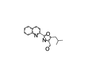 CC(C)Cc1oc(-c2ccc3ccccc3n2)nc1C=O